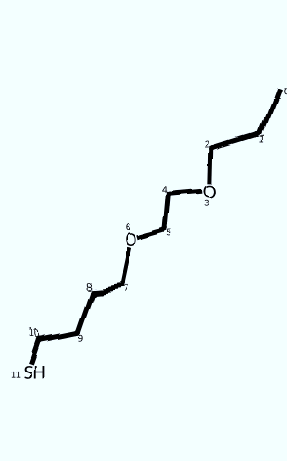 CCCOCCOCCCCS